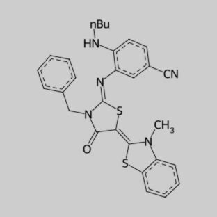 CCCCNc1ccc(C#N)cc1N=C1SC(=C2Sc3ccccc3N2C)C(=O)N1Cc1ccccc1